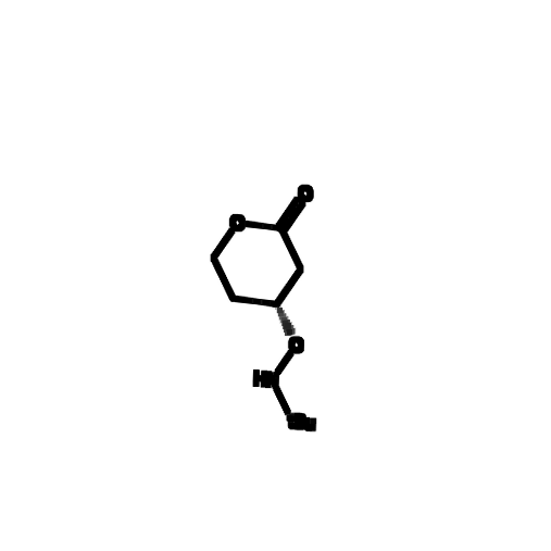 CC(C)(C)NO[C@@H]1CCOC(=O)C1